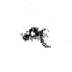 CCCCc1ccc(-c2ccc(C(O)NC[C@@H](C)C(=O)N[C@@H](CCCCN)C(=O)N(C)[C@H]3c4ccc(O)c(c4)-c4cc(ccc4O)C[C@@H](C(=O)N[C@@H](C)C(=O)N4CCC[C@H]4C(N)=O)NC(=O)[C@H](C)NC3O)cc2)cc1